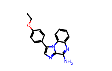 CCOc1ccc(-c2cnc3c(N)nc4ccccc4n23)cc1